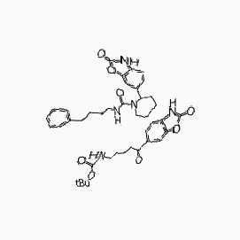 CC(C)(C)OC(=O)NCCCCC(=O)c1ccc2[nH]c(=O)oc2c1.O=C(NCCCCc1ccccc1)N1CCCCC1c1ccc2[nH]c(=O)oc2c1